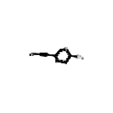 CCC#Cc1cnc(C)cn1